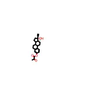 C#C[C@]1(O)CCC2C3CCc4cc(OC(=O)C(C)=O)ccc4C3CC[C@@]21C